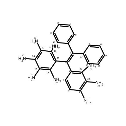 Nc1ccc(C(=C(c2ccccc2)c2ccccc2)c2c(N)c(N)c(N)c(N)c2N)c(N)c1N